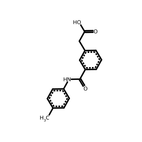 Cc1ccc(NC(=O)c2cccc(CC(=O)O)c2)cc1